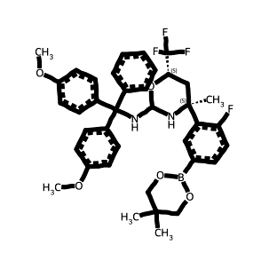 COc1ccc(C(NC2N[C@](C)(c3cc(B4OCC(C)(C)CO4)ccc3F)C[C@@H](C(F)(F)F)O2)(c2ccccc2)c2ccc(OC)cc2)cc1